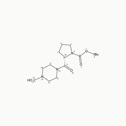 CC(C)(C)OC(=O)N1CCC[C@H]1C(=O)N1CCN(C(=O)O)CC1